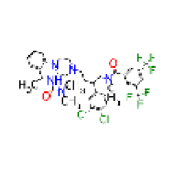 C[C@H](NC(=O)N(C)C)c1ccccc1N1CCN(CCC(CN(C)C(=O)c2cc(C(F)(F)F)cc(C(F)(F)F)c2)c2ccc(Cl)c(Cl)c2)CC1